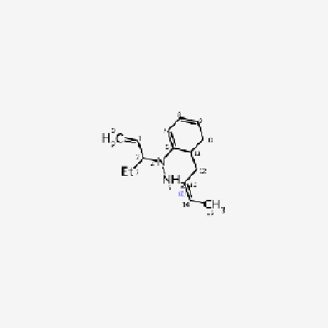 C=CC(CC)N(N)C1=CC=CCC1C/C=C\C